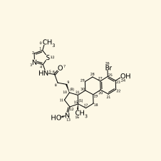 Cc1cnc(NC(=O)CC[C@@H]2CC(=NO)[C@@]3(C)CCC4c5ccc(O)c(Br)c5CCC4C23)s1